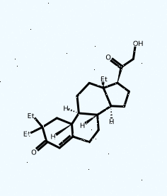 CCC1(CC)C[C@H]2C(=CC1=O)CC[C@@H]1[C@@H]2CC[C@]2(CC)[C@@H](C(=O)CO)CC[C@@H]12